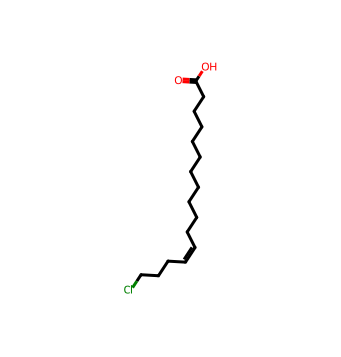 O=C(O)CCCCCCCCCC/C=C\CCCCl